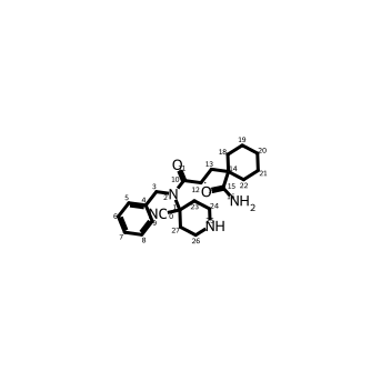 N#CC1(N(Cc2ccccc2)C(=O)[CH]CC2(C(N)=O)CCCCC2)CCNCC1